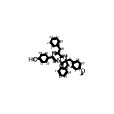 COc1ccc(CC2(Cc3ccccc3)N=C3C(Cc4ccccc4)=NC(c4ccc(O)cc4)=CN3C2=O)cc1